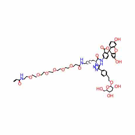 C=CC(=O)NCCOCCOCCOCCOCCOCCOCCC(=O)NCCCC[C@@H](C(=O)Nc1ccc2c(c1)C(=O)OC21c2ccc(O)cc2Oc2cc(O)ccc21)n1cc(-c2ccc(CCO[C@@H]3O[C@H](CO)[C@@H](O)C[C@H]3O)cc2)nn1